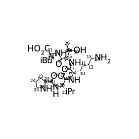 CC[C@H](C)[C@H](NC(=O)[C@@H](NC(=O)[C@H](CCCCN)NC(=O)[C@@H](NC(=O)[C@@H]1CCCN1)C(C)C)[C@@H](C)O)C(=O)O